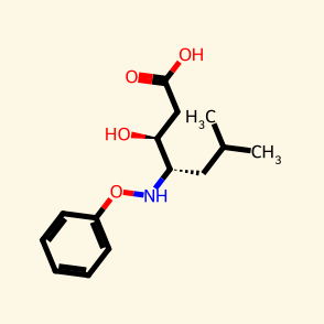 CC(C)C[C@H](NOc1ccccc1)[C@@H](O)CC(=O)O